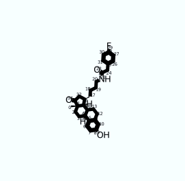 C[C@]12CC[C@@H]3c4ccc(O)cc4CCC3[C@@H]1[C@@H](CCCCNC(=O)Cc1ccc(F)cc1)CC2=O